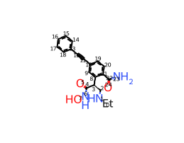 CCNC[C@@H](C(=O)NO)c1cc(C#Cc2ccccc2)ccc1C(N)=O